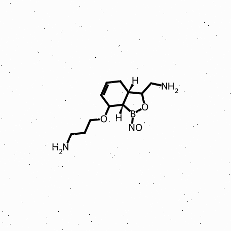 NCCCOC1C=CC[C@@H]2C(CN)OB(N=O)[C@H]12